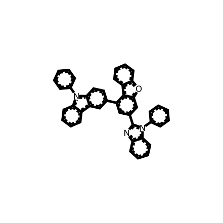 c1ccc(-n2c(-c3cc(-c4ccc5c(c4)c4ccccc4n5-c4ccccc4)c4c(c3)oc3ccccc34)nc3ccccc32)cc1